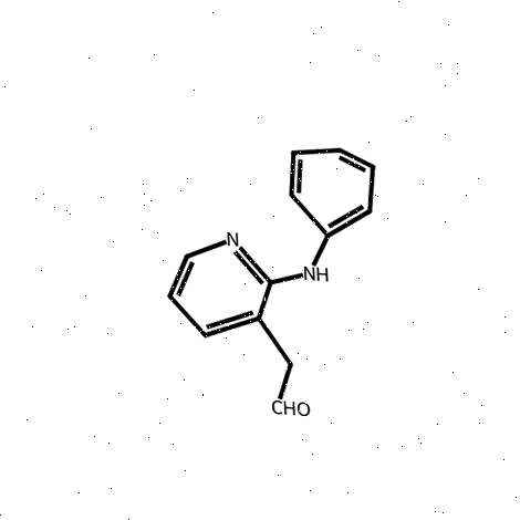 O=CCc1cccnc1Nc1ccccc1